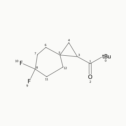 CC(C)(C)C(=O)C1CC12CCC(F)(F)CC2